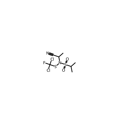 CC(C#N)N(SC(F)(Cl)Cl)S(=O)(=O)C(C)C